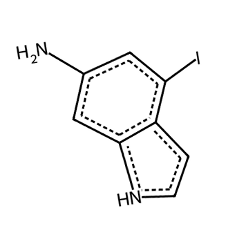 Nc1cc(I)c2cc[nH]c2c1